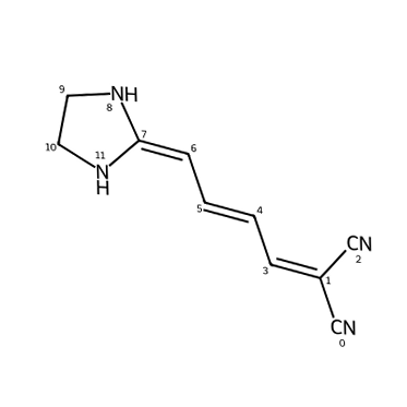 N#CC(C#N)=CC=CC=C1NCCN1